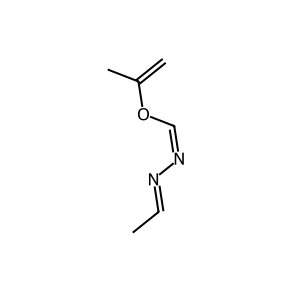 C=C(C)O/C=N\N=C\C